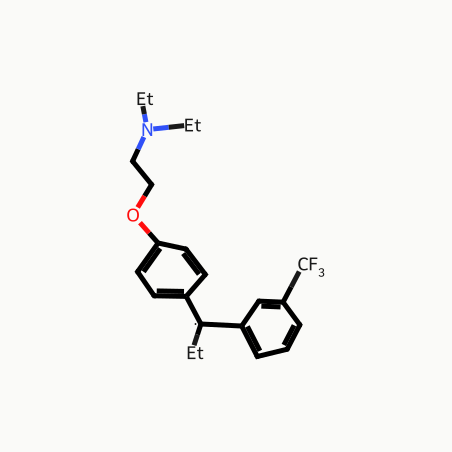 CC[C](c1ccc(OCCN(CC)CC)cc1)c1cccc(C(F)(F)F)c1